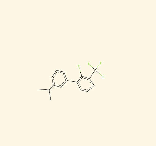 CC(C)c1cccc(-c2cccc(C(F)(F)F)c2F)c1